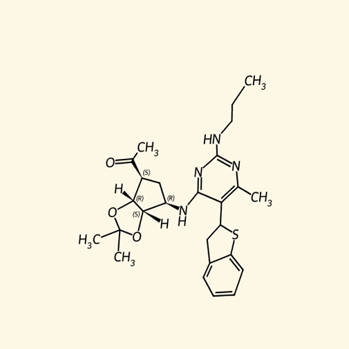 CCCNc1nc(C)c(C2Cc3ccccc3S2)c(N[C@@H]2C[C@H](C(C)=O)[C@H]3OC(C)(C)O[C@H]32)n1